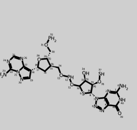 Nc1nc2c(nnn2[C@@H]2SC(OPOC[C@H]3C[C@H](c4cnn5c(N)ncnc45)O[C@@H]3COP)[C@@H](O)[C@H]2OS)c(=O)[nH]1